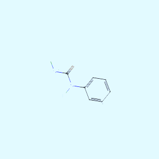 FN(C(=S)NCl)c1ccccc1